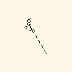 CCCCCCCCCCCCCCCCCCOc1ccc2c(c1)SC(=Cc1ccc(C)cc1)C2=O